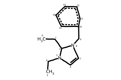 CCC1N(CC)C=CN1Cc1ccccc1